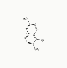 COc1ccc2c(C#N)c(C(=O)O)ccc2c1